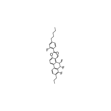 CCCCCc1ccc(C(=O)Oc2ccc3c(c2F)C(F)C(F)c2c-3ccc(CCC)c2F)c(F)c1